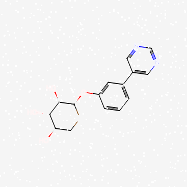 O[C@@H]1[C@@H](O)[C@@H](Oc2cccc(-c3cncnc3)c2)SC[C@H]1O